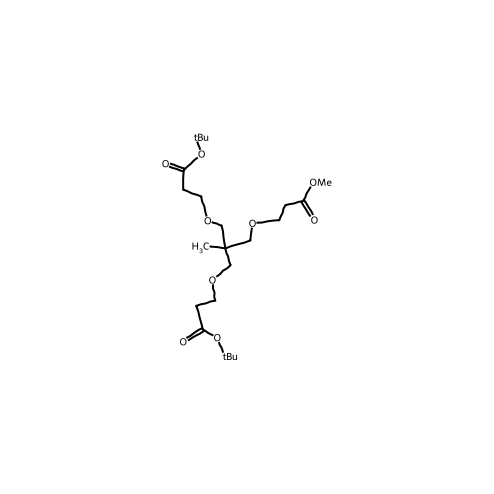 COC(=O)CCOCC(C)(COCCC(=O)OC(C)(C)C)COCCC(=O)OC(C)(C)C